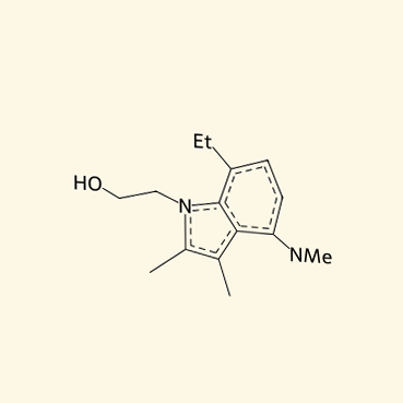 CCc1ccc(NC)c2c(C)c(C)n(CCO)c12